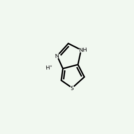 [H+].c1nc2cscc2[nH]1